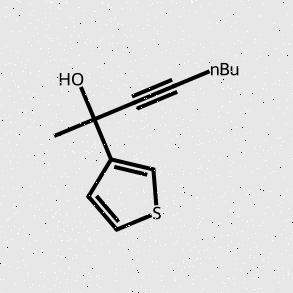 CCCCC#CC(C)(O)c1ccsc1